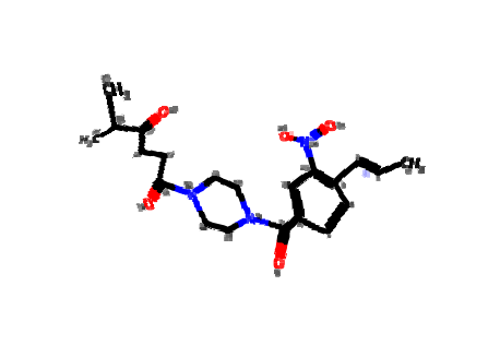 C/C=C/c1ccc(C(=O)N2CCN(C(=O)CCC(=O)C(C)C)CC2)cc1[N+](=O)[O-]